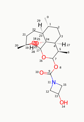 C[C@@H]1CC[C@H]2[C@@H](C)C(OC(=O)N3CC(O)C3)O[C@H]3O[C@@]4(C)CC[C@@H]1[C@]32OO4